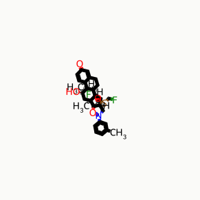 Cc1cccc(N2C[C@@H]3C[C@H]4[C@@H]5CCC6=CC(=O)C=C[C@]6(C)[C@@]5(F)[C@@H](O)C[C@]4(C)[C@]3(C(=O)SCF)O2)c1